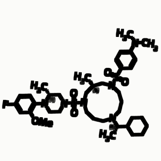 COc1cc(F)ccc1N1CCN(S(=O)(=O)N2CCCN([C@@H](C)C3CCCCC3)CCCN(S(=O)(=O)c3ccc(N(C)C)cc3)C[C@H](C)C2)C[C@H]1C